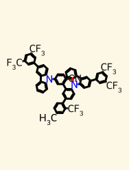 Cc1ccc(-c2ccc(-n3c4ccccc4c4cc(-c5cc(C(F)(F)F)cc(C(F)(F)F)c5)ccc43)c(-c3cc(-n4c5ccccc5c5cc(-c6cc(C(F)(F)F)cc(C(F)(F)F)c6)ccc54)ccc3C#N)c2)c(C(F)(F)F)c1